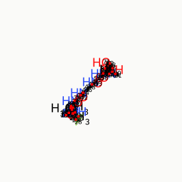 Cc1nnc(C(C)C)n1C1CC2CCC(C1)N2CC[C@H](NC(=O)C1CCC(F)(F)CC1)c1ccc(NC(=O)COCC(=O)NCCCCCCCNC(=O)COCC(=O)N[C@@H]2CC[C@@]3(O)C4Cc5ccc(O)c6c5[C@@]3(CCN4CC3CC3)[C@H]2O6)cc1